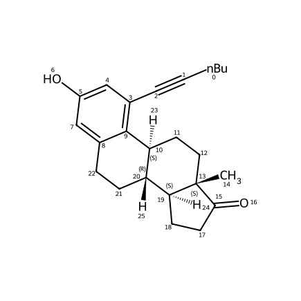 CCCCC#Cc1cc(O)cc2c1[C@H]1CC[C@]3(C)C(=O)CC[C@H]3[C@@H]1CC2